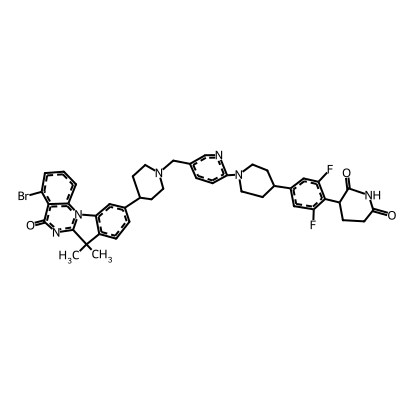 CC1(C)c2ccc(C3CCN(Cc4ccc(N5CCC(c6cc(F)c(C7CCC(=O)NC7=O)c(F)c6)CC5)nc4)CC3)cc2-n2c1nc(=O)c1c(Br)cccc12